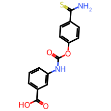 NC(=S)c1ccc(OC(=O)Nc2cccc(C(=O)O)c2)cc1